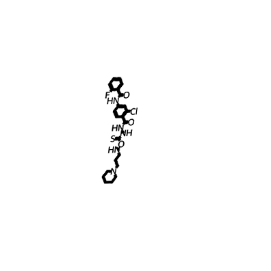 O=C(Nc1ccc(C(=O)NNC(=S)ONCCCN2CCCCC2)c(Cl)c1)c1ccccc1F